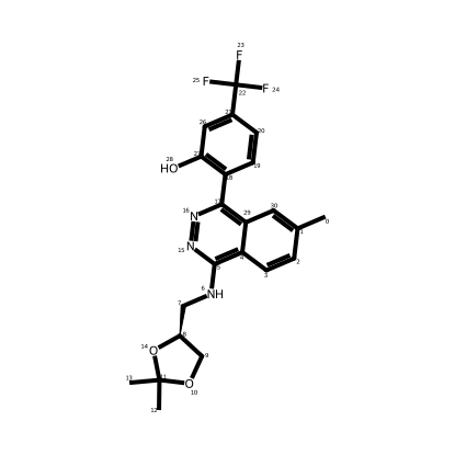 Cc1ccc2c(NC[C@H]3COC(C)(C)O3)nnc(-c3ccc(C(F)(F)F)cc3O)c2c1